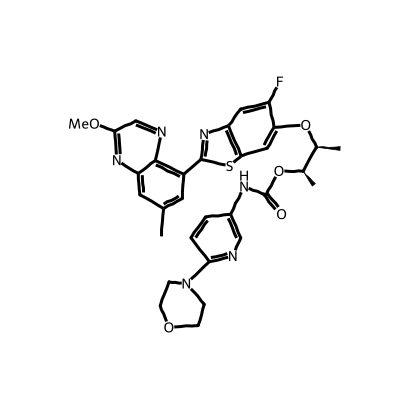 COc1cnc2c(-c3nc4cc(F)c(O[C@@H](C)[C@@H](C)OC(=O)Nc5ccc(N6CCOCC6)nc5)cc4s3)cc(C)cc2n1